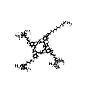 CCCCCCCCCCCOc1ccc(C2=C3C=CC(=N3)C(c3ccc(OCCCCC[N+](C)(C)C)cc3)=C3C=CC(=N3)C(c3ccc(OCCCCC[N+](C)(C)C)cc3)=C3C=CC(=N3)C(c3ccc(OCCCCC[N+](C)(C)C)cc3)=C3C=CC2=N3)cc1.[Cl-].[Cl-].[Cl-]